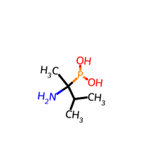 CC(C)C(C)(N)P(O)O